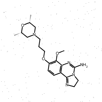 COc1c(OCCCN2C[C@@H](C)O[C@@H](C)C2)ccc2c1N=C(N)N1CCN=C21